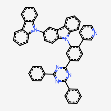 c1ccc(-c2nc(-c3ccccc3)nc(-c3ccc(-c4cccnc4)c(-n4c5ccccc5c5cc(-n6c7ccccc7c7ccccc76)ccc54)c3)n2)cc1